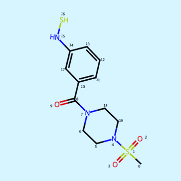 CS(=O)(=O)N1CCN(C(=O)c2cccc(NS)c2)CC1